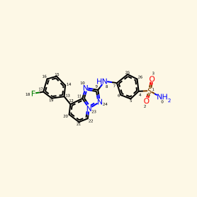 NS(=O)(=O)c1ccc(Nc2nc3c(-c4cccc(F)c4)cccn3n2)cc1